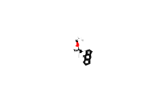 CC(C)N(C(=O)CCS(=O)(=O)NC(=O)Nc1c2c(cc3c1CCC3)CCC2)C(C)C